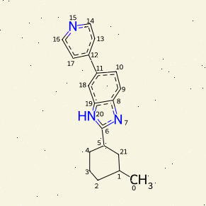 CC1CCCC(c2nc3ccc(-c4ccncc4)cc3[nH]2)C1